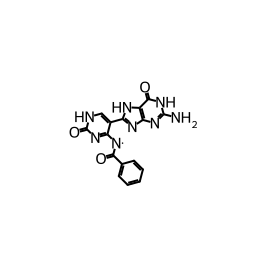 Nc1nc2nc(-c3c[nH]c(=O)nc3[N]C(=O)c3ccccc3)[nH]c2c(=O)[nH]1